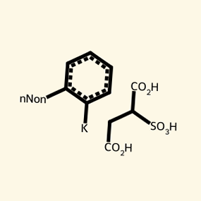 CCCCCCCCCc1cccc[c]1[K].O=C(O)CC(C(=O)O)S(=O)(=O)O